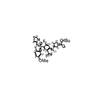 COc1ccc(CN(c2cscn2)S(=O)(=O)c2cc(C(F)F)c(N(C)[C@H]3CCN(C(=O)OC(C)(C)C)C3)cc2F)cc1